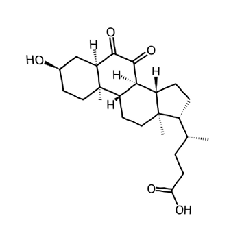 C[C@H](CCC(=O)O)[C@H]1CC[C@H]2[C@@H]3C(=O)C(=O)[C@@H]4C[C@H](O)CC[C@]4(C)[C@H]3CC[C@]12C